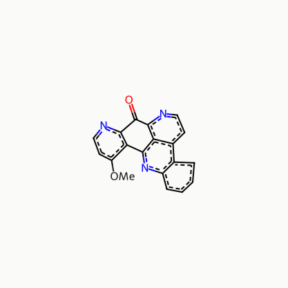 COc1ccnc2c1-c1nc3ccccc3c3ccnc(c13)C2=O